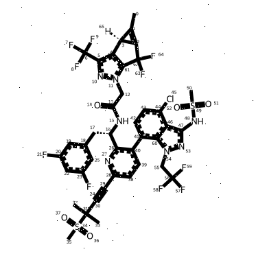 CC1=C2[C@H]1c1c(C(F)(F)F)nn(CC(=O)N[C@@H](Cc3cc(F)cc(F)c3)c3nc(C#CC(C)(C)S(C)(=O)=O)ccc3-c3ccc(Cl)c4c(NS(C)(=O)=O)nn(CC(F)(F)F)c34)c1C2(F)F